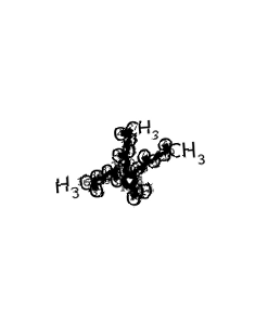 CC(=O)OCOC(=O)COc1cc([N+](=O)[O-])ccc1N(CC(=O)OCOC(C)=O)CC(=O)OCOC(C)=O